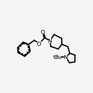 CC(C)(C)N1CCCC1CC1CCN(C(=O)OCc2ccccc2)CC1